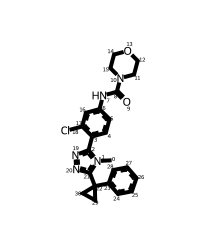 Cn1c(-c2ccc(NC(=O)N3CCOCC3)cc2Cl)nnc1C1(c2ccccc2)CC1